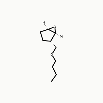 CCCCOC[C@@H]1CC[C@H]2O[C@@H]12